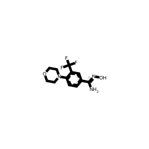 N/C(=N\O)c1ccc(N2CCOCC2)c(C(F)(F)F)c1